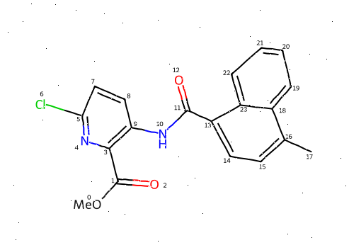 COC(=O)c1nc(Cl)ccc1NC(=O)c1ccc(C)c2ccccc12